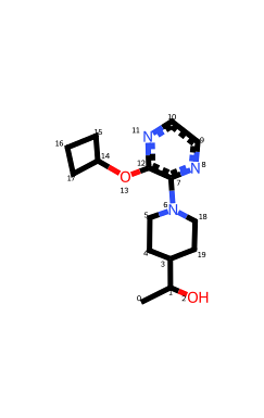 CC(O)C1CCN(c2nccnc2OC2CCC2)CC1